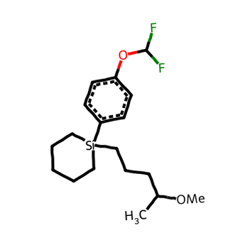 COC(C)CCC[Si]1(c2ccc(OC(F)F)cc2)CCCCC1